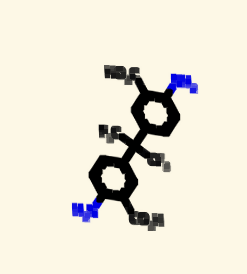 Nc1ccc(C(c2ccc(N)c(C(=O)O)c2)(C(F)(F)F)C(F)(F)F)cc1C(=O)O